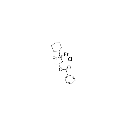 CC[N+](CC)(CC(C)OC(=O)c1ccccc1)C1CCCCC1.[Cl-]